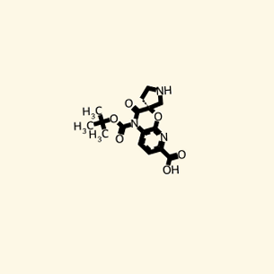 CC(C)(C)OC(=O)N1C(=O)[C@]2(CCNC2)Oc2nc(C(=O)O)ccc21